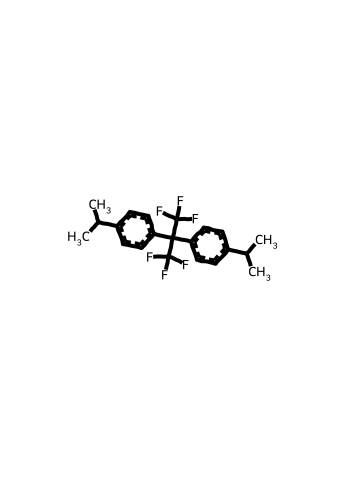 CC(C)c1ccc(C(c2ccc(C(C)C)cc2)(C(F)(F)F)C(F)(F)F)cc1